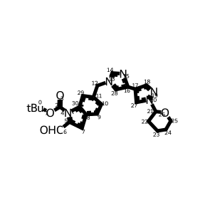 CC(C)(C)OC(=O)n1c(C=O)cc2ccc(Cn3cnc(-c4cnn(C5CCCCO5)c4)c3)cc21